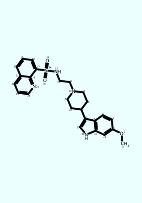 COc1ccc2c(C3CCN(CCNS(=O)(=O)c4cccc5cccnc45)CC3)c[nH]c2c1